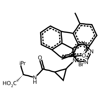 Cc1ccc2oc3c(Br)c2c1-c1cccc-3c1-c1nnnn1C1CC1C(=O)N[C@H](C(=O)O)C(C)C